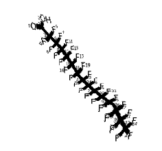 O=C(O)C(F)(F)C(F)(F)C(F)(F)C(F)(F)C(F)(F)C(F)(F)C(F)(F)C(F)(F)C(F)(F)C(F)(F)C(F)(F)C(F)(F)C(F)(F)C(F)(F)F